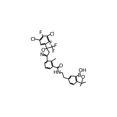 Cc1c(C(=O)NCCc2ccc3c(c2)B(O)OC3(C)C)cccc1C1=NOC(c2cc(Cl)c(F)c(Cl)c2)(C(F)(F)F)C1